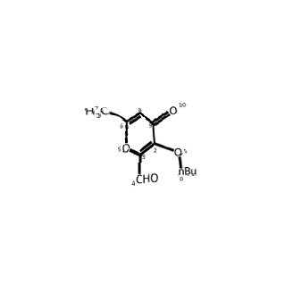 CCCCOc1c(C=O)oc(C)cc1=O